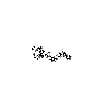 CCC(Oc1ccc(C(C)(C)CC)cc1C(C)(C)CC)C(=O)Nc1ccc(Cl)c(NC(=O)CC(=O)C(C)(C)Sc2ccccc2)c1